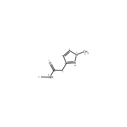 Cn1ccc(CC(=O)NI)n1